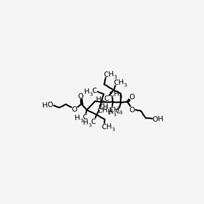 CCC(C)(C)CC(C)(C(=O)OCCO)C(C)(C)C(C)(CC)CC(C)(C(=O)OCCO)C(C)(C)CC